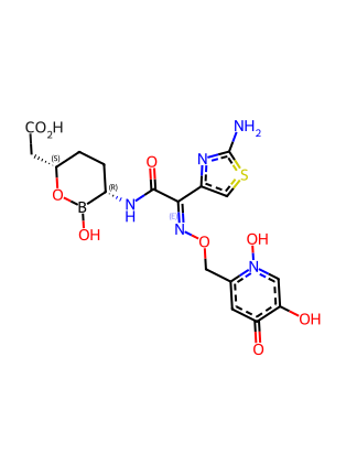 Nc1nc(/C(=N\OCc2cc(=O)c(O)cn2O)C(=O)N[C@H]2CC[C@@H](CC(=O)O)OB2O)cs1